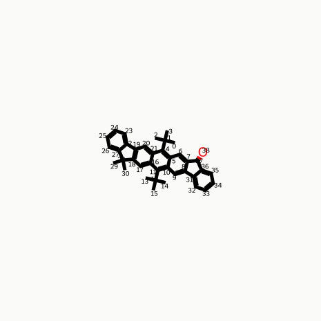 CC(C)(C)c1c2cc3c(cc2c(C(C)(C)C)c2cc4c(cc12)-c1ccccc1C4(C)C)-c1ccccc1C3=O